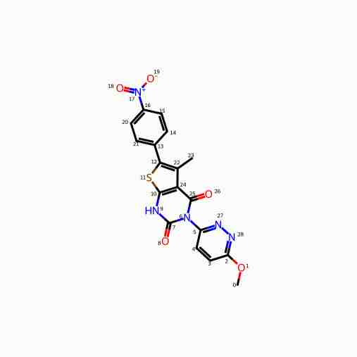 COc1ccc(-n2c(=O)[nH]c3sc(-c4ccc([N+](=O)[O-])cc4)c(C)c3c2=O)nn1